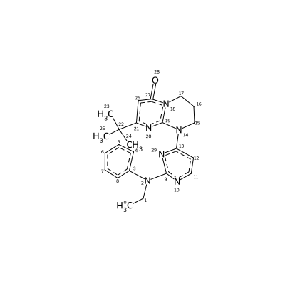 CCN(c1ccccc1)c1nccc(N2CCCn3c2nc(C(C)(C)C)cc3=O)n1